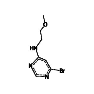 COCCNc1cc(Br)ncn1